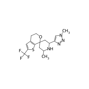 CC1CC2(CC(c3cn(C)nn3)N1)OCCc1cc(C(F)(F)F)sc12